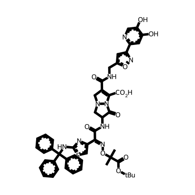 CC(C)(C)OC(=O)C(C)(C)ON=C(C(=O)NC1CN2CC(C(=O)NCc3cc(-c4cc(O)c(O)cn4)no3)=C(C(=O)O)N2C1=O)c1csc(NC(c2ccccc2)(c2ccccc2)c2ccccc2)n1